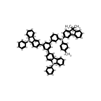 Cc1ccc(N(c2cccc(-c3cc(-c4ccc5c(c4)c4ccccc4n5-c4ccccc4)cc(-c4ccc5c(c4)c4ccccc4n5-c4ccccc4)c3)c2)c2ccc3c(c2)-c2ccccc2C3(C)C)cc1